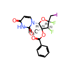 C[C@]1(OC(=O)c2ccccc2)[C@H](n2ccc(=O)[nH]c2=O)O[C@](F)(CI)[C@H]1F